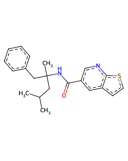 CC(C)CC(C)(Cc1ccccc1)NC(=O)c1cnc2sccc2c1